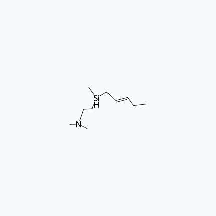 CCC=CC[SiH](C)CCN(C)C